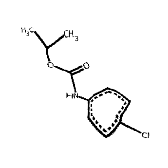 CC(C)OC(=O)Nc1ccc(Cl)cc1